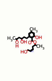 Cc1cc(O)c(C(=O)OC(C)C/C=C\CO)c(CCC(O)CC(C)O)c1